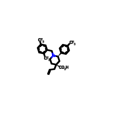 C=CC[C@@]1(C(=O)O)CCN(Cc2cc(C(F)(F)F)ccc2C(F)(F)F)[C@H](c2ccc(C(F)(F)F)cc2)C1